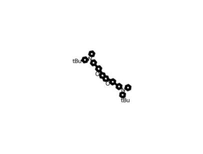 CC(C)(C)c1ccc(N(c2ccccc2)c2ccc(-c3ccc4c(c3)oc3cc5cc6oc7cc(-c8ccc(N(c9ccccc9)c9ccc(C(C)(C)C)cc9)cc8)ccc7c6cc5cc34)cc2)cc1